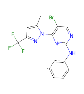 Cc1cc(C(F)(F)F)nn1-c1nc(Nc2c[c]ccc2)ncc1Br